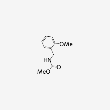 COC(=O)NCc1ccccc1OC